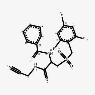 N#CCNC(=O)C(CS(=O)(=O)Cc1c(F)cc(F)cc1F)NC(=O)c1ccccc1